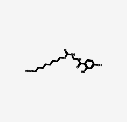 CCCCCCCCCCCCCCCCCCOC(=O)NCNC(=O)c1ccc(O)cc1O